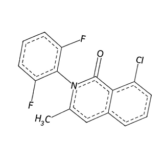 Cc1cc2cccc(Cl)c2c(=O)n1-c1c(F)cccc1F